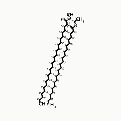 CCCCCCCCCCCCCCCCCCCCCCCCCC(=O)OCC.CCCCCCCCCCCCCCCCCCCCCCCCCCCC(=O)OC